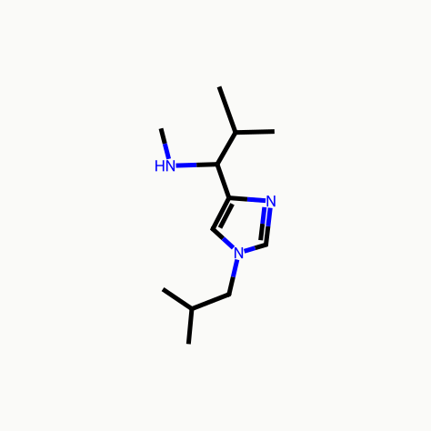 CNC(c1cn(CC(C)C)cn1)C(C)C